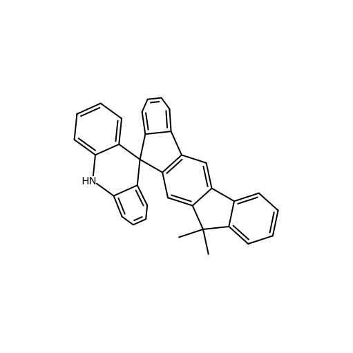 CC1(C)c2ccccc2-c2cc3c(cc21)C1(c2ccccc2Nc2ccccc21)c1ccccc1-3